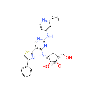 Cc1cc(Nc2ncc(-c3nc(-c4ccccc4)cs3)c(N[C@@H]3C[C@H](CO)[C@@H](O)[C@H]3O)n2)ccn1